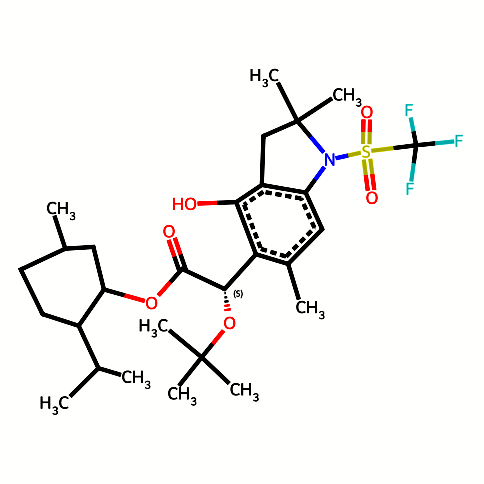 Cc1cc2c(c(O)c1[C@H](OC(C)(C)C)C(=O)OC1CC(C)CCC1C(C)C)CC(C)(C)N2S(=O)(=O)C(F)(F)F